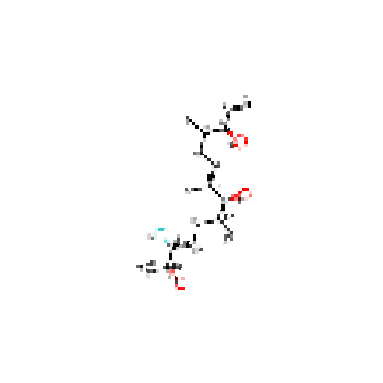 C=CC(=O)C(C)C/C=C(\C)C(=O)C(C)C/C=C(\F)C(=O)C(C)C